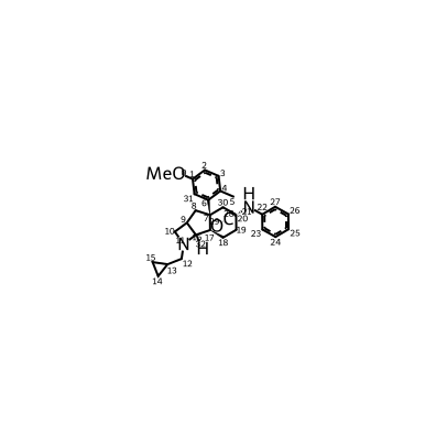 COc1ccc(C)c([C@]23CC4CN(CC5CC5)[C@H]4[C@]24CC[C@@](Nc2ccccc2)(CO4)C3)c1